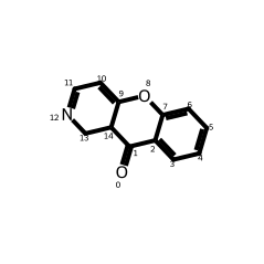 O=C1c2ccccc2OC2=CC=NCC12